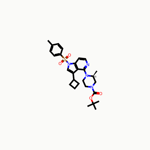 Cc1ccc(S(=O)(=O)n2cc(C3CCC3)c3c(N4CCN(C(=O)OC(C)(C)C)C[C@@H]4C)nccc32)cc1